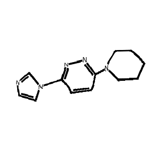 c1cn(-c2ccc(N3CCCCC3)nn2)cn1